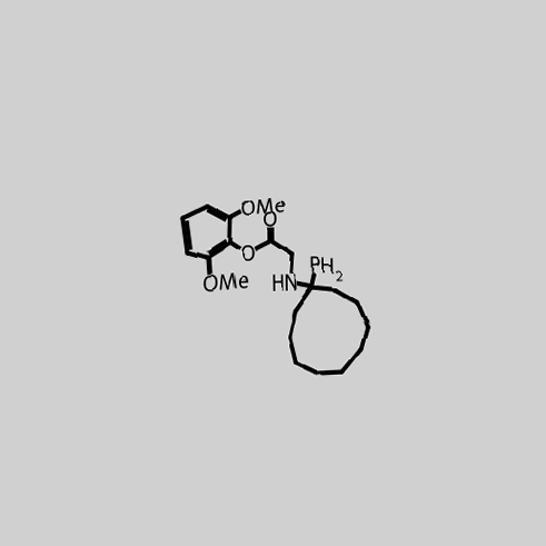 COc1cccc(OC)c1OC(=O)CNC1(P)CCCCCCCCC1